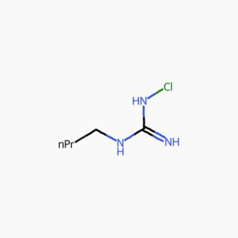 CCCCNC(=N)NCl